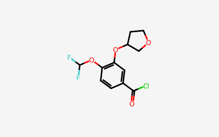 O=C(Cl)c1ccc(OC(F)F)c(OC2CCOC2)c1